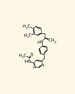 C=C(Cc1ccc(C)c(C)c1)Nc1ccc(Cc2cc(NC(C)=O)ncn2)cc1